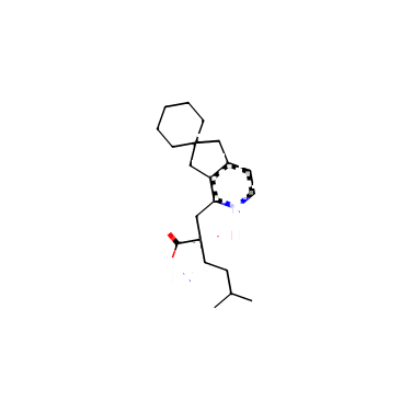 CC(C)C[C@H](N)[C@](O)(Cc1nccc2c1CC1(CCCCC1)C2)C(=O)O